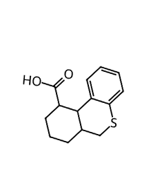 O=C(O)C1CCCC2CSc3ccccc3C21